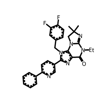 CCN1C(=O)c2nc(-c3ccc(-c4ccccc4)nc3)n(Cc3ccc(F)c(F)c3)c2N2CC(C)(C)N=C12